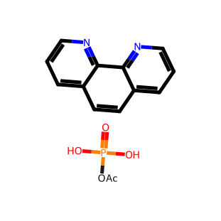 CC(=O)OP(=O)(O)O.c1cnc2c(c1)ccc1cccnc12